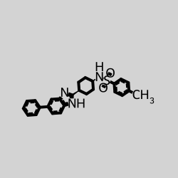 Cc1ccc(S(=O)(=O)N[C@H]2CC[C@H](c3nc4cc(-c5ccccc5)ccc4[nH]3)CC2)cc1